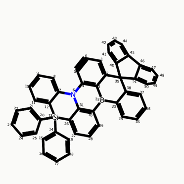 c1cc2c3c(c#1)N1c4ccccc4[Si](c4ccccc4)(c4ccccc4)c4cccc(c41)B3c1ccccc1C21c2ccccc2-c2ccccc21